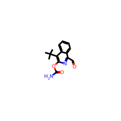 CC(C)(C)c1c(OC(N)=O)nc(C=O)c2ccccc12